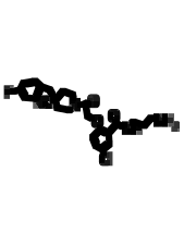 N#CC1(Cc2ccc(F)cc2)CCN(C(=O)COc2ccc(Cl)cc2C(=O)NCCCN)CC1